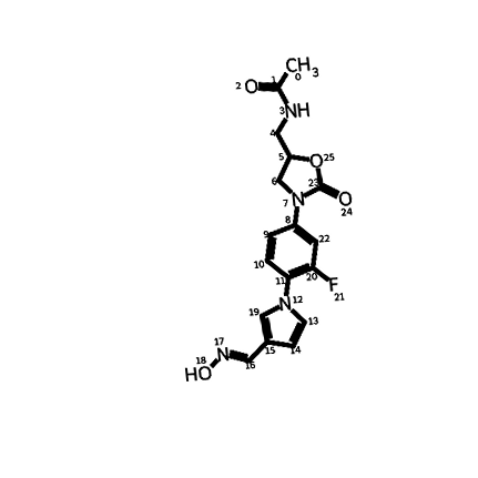 CC(=O)NCC1CN(c2ccc(-n3ccc(C=NO)c3)c(F)c2)C(=O)O1